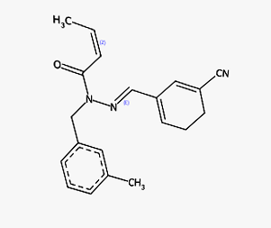 C/C=C\C(=O)N(Cc1cccc(C)c1)/N=C/C1=CCCC(C#N)=C1